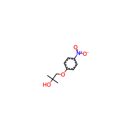 CC(C)(O)COc1ccc([N+](=O)[O-])cc1